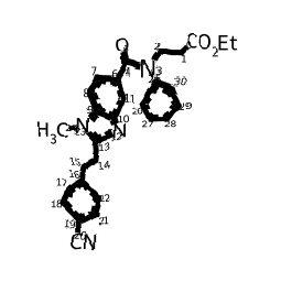 CCOC(=O)CCN(C(=O)c1ccc2c(c1)nc(CCc1ccc(C#N)cc1)n2C)c1ccccc1